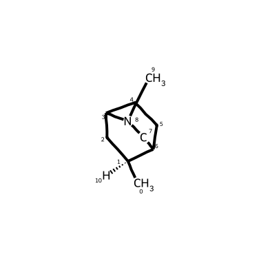 C[C@H]1CC2CCC1CN2C